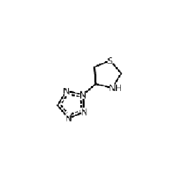 c1nnn(C2CSCN2)n1